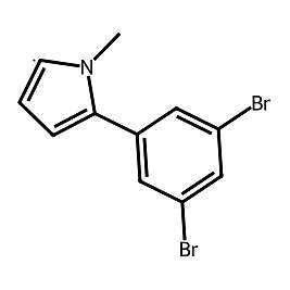 Cn1[c]ccc1-c1cc(Br)cc(Br)c1